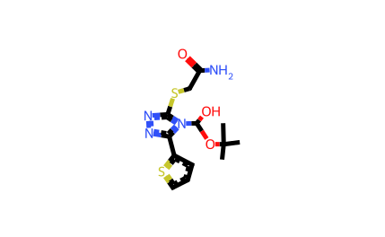 CC(C)(C)OC(O)n1c(SCC(N)=O)nnc1-c1cccs1